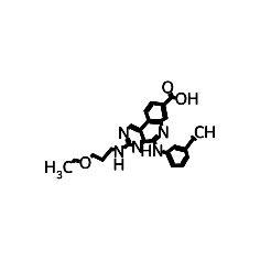 C#Cc1cccc(Nc2nc3cc(C(=O)O)ccc3c3cnc(NCCCOCC)nc23)c1